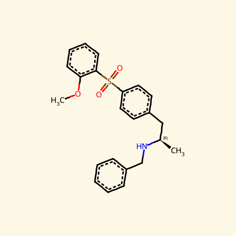 COc1ccccc1S(=O)(=O)c1ccc(C[C@@H](C)NCc2ccccc2)cc1